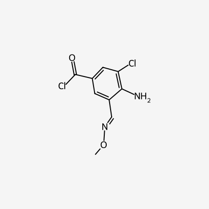 CON=Cc1cc(C(=O)Cl)cc(Cl)c1N